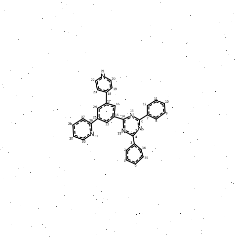 c1ccc(-c2nc(-c3ccccc3)nc(-c3cc(-c4ccncc4)cc(-c4ccccn4)c3)n2)cc1